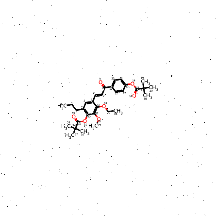 CCCc1cc(C=CC(=O)c2ccc(OC(=O)C(C)(C)C)cc2)c(OCC)c(OC)c1OC(=O)C(C)(C)C